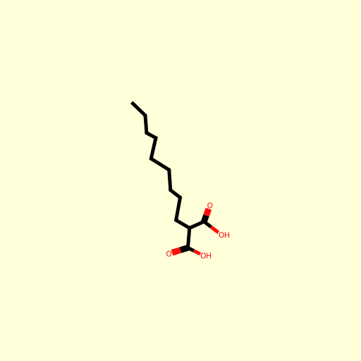 CCCCCCCCC[C](C(=O)O)C(=O)O